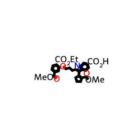 CCOC(=O)Cn1c(CCCOc2cccc(C(=O)OC)c2)c(C2=C(C(=O)OC)CCC2)c2ccc(C(=O)O)cc21